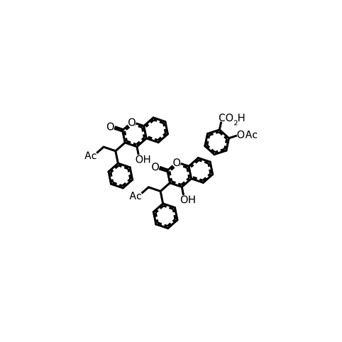 CC(=O)CC(c1ccccc1)c1c(O)c2ccccc2oc1=O.CC(=O)CC(c1ccccc1)c1c(O)c2ccccc2oc1=O.CC(=O)Oc1ccccc1C(=O)O